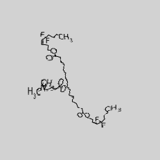 CCCCC(F)(F)/C=C\CCOC(=O)CCCCCCCC(CCCCCCCC(=O)OCC/C=C\C(F)(F)CCCC)OC(=O)CCCN(C)C